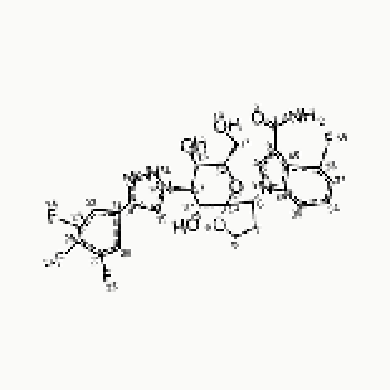 NC(=O)c1cn([C@@H]2CCO[C@]23O[C@H](CO)[C@H](O)[C@H](n2cc(-c4cc(F)c(F)c(F)c4)nn2)[C@H]3O)c2cccc(F)c12